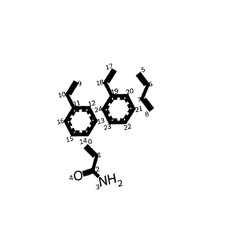 C=CC(N)=O.C=CC=C.C=Cc1ccccc1.C=Cc1ccccc1